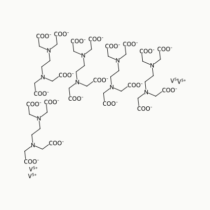 O=C([O-])CN(CCN(CC(=O)[O-])CC(=O)[O-])CC(=O)[O-].O=C([O-])CN(CCN(CC(=O)[O-])CC(=O)[O-])CC(=O)[O-].O=C([O-])CN(CCN(CC(=O)[O-])CC(=O)[O-])CC(=O)[O-].O=C([O-])CN(CCN(CC(=O)[O-])CC(=O)[O-])CC(=O)[O-].O=C([O-])CN(CCN(CC(=O)[O-])CC(=O)[O-])CC(=O)[O-].[V+5].[V+5].[V+5].[V+5]